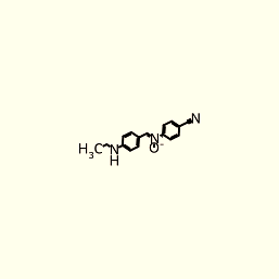 CCNc1ccc(C=[N+]([O-])c2ccc(C#N)cc2)cc1